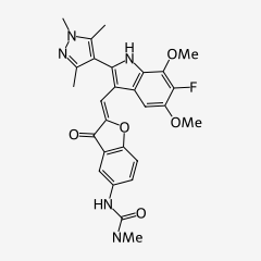 CNC(=O)Nc1ccc2c(c1)C(=O)/C(=C/c1c(-c3c(C)nn(C)c3C)[nH]c3c(OC)c(F)c(OC)cc13)O2